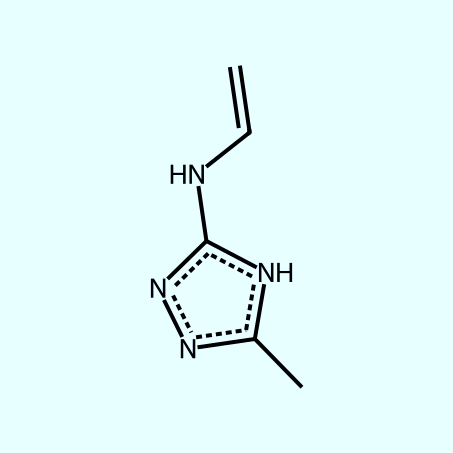 C=CNc1nnc(C)[nH]1